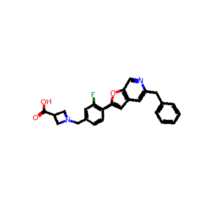 O=C(O)C1CN(Cc2ccc(-c3cc4cc(Cc5ccccc5)ncc4o3)c(F)c2)C1